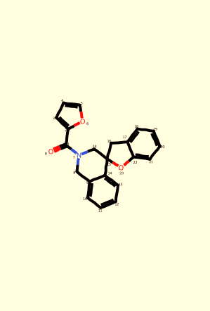 O=C(c1ccco1)N1Cc2ccccc2C2(Cc3ccccc3O2)C1